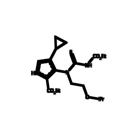 CCOC(=O)NC(=S)N(CCOC(C)C)c1c(C2CC2)c[nH]c1C(=O)OCC